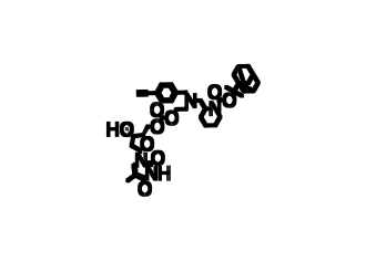 C#Cc1ccc(CN(CCOC(=O)OC[C@H]2O[C@@H](n3cc(C)c(=O)[nH]c3=O)C[C@@H]2O)CC2CCCCN2C(=O)OC(C)(C)C23CC4CC(CC(C4)C2)C3)cc1